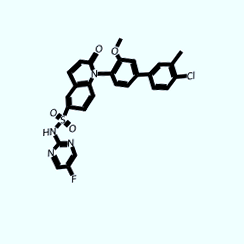 COc1cc(-c2ccc(Cl)c(C)c2)ccc1-n1c(=O)ccc2cc(S(=O)(=O)Nc3ncc(F)cn3)ccc21